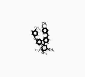 COc1ccc(Cc2ccc(C3(c4ccc(Oc5ccc(C)cc5)cc4)CC(C)CC(C)(C)C3)cc2)cc1